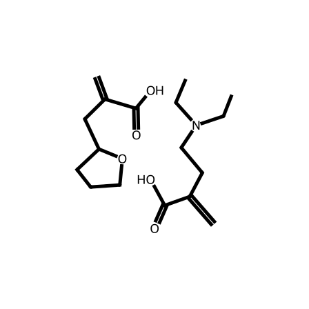 C=C(CC1CCCO1)C(=O)O.C=C(CCN(CC)CC)C(=O)O